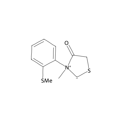 CSc1ccccc1[N+]1(C)[C]SCC1=O